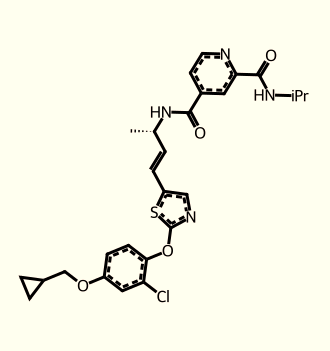 CC(C)NC(=O)c1cc(C(=O)N[C@@H](C)/C=C/c2cnc(Oc3ccc(OCC4CC4)cc3Cl)s2)ccn1